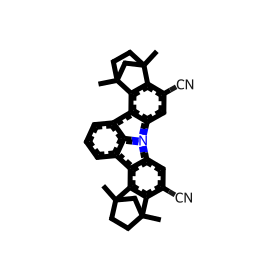 CC12CCC(C)(C1)c1c2c(C#N)cc2c1c1cccc3c4c5c(c(C#N)cc4n2c13)C1(C)CCC5(C)C1